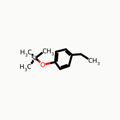 CCc1ccc(O[Si](C)(C)C)cc1